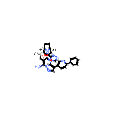 COCc1c([C@@H]2C[C@H]3CC[C@@H](C2)N3C(=O)c2nnc[nH]2)nc2c(-c3ccc(-c4ccccc4)nc3)cnn2c1N